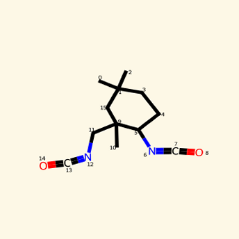 CC1(C)CCC(N=C=O)C(C)(CN=C=O)C1